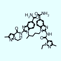 CCn1nc(C)cc1C(=O)Nc1nc2cc(C(N)=O)ccc2n1CCCC(C)n1c(NC(=O)c2cc(C)nn2CC)nc2cc(C(N)=O)ccc21